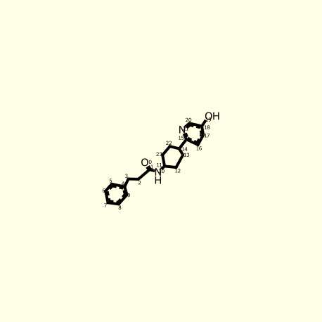 O=C(CCc1ccccc1)NC1CCC(c2ccc(O)cn2)CC1